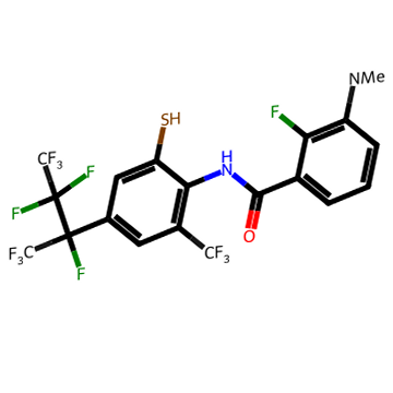 CNc1cccc(C(=O)Nc2c(S)cc(C(F)(C(F)(F)F)C(F)(F)C(F)(F)F)cc2C(F)(F)F)c1F